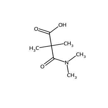 CN(C)C(=O)C(C)(C)C(=O)O